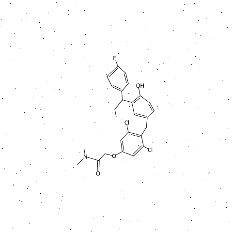 CCC(c1ccc(F)cc1)c1cc(Cc2c(Cl)cc(OCC(=O)N(C)C)cc2Cl)ccc1O